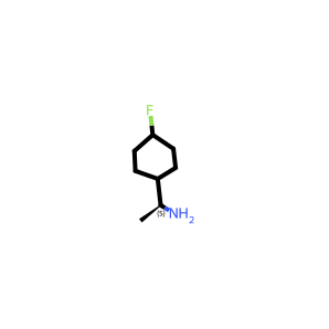 C[C@H](N)C1CCC(F)CC1